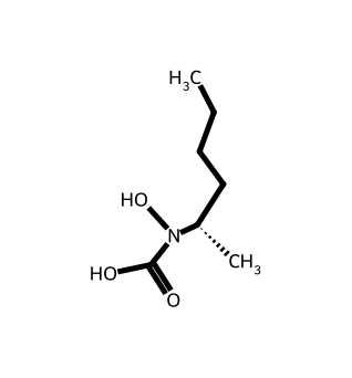 CCCC[C@H](C)N(O)C(=O)O